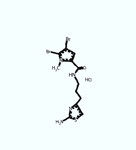 Cl.Cn1c(C(=O)NCCCc2csc(N)n2)cc(Br)c1Br